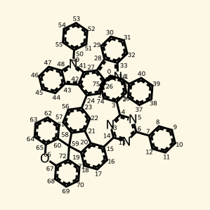 c1ccc(-c2nc(-c3ccccc3)nc(-c3cccc4c3-c3cc(-c5cc6c(c7ccccc7n6-c6ccccc6)c6c5c5ccccc5n6-c5ccccc5)ccc3C43c4ccccc4Oc4ccccc43)n2)cc1